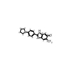 FC(F)(F)c1cc2nc(-c3ccc(N4CCCC4)cc3)[nH]c2cc1Cl